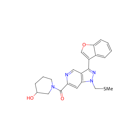 CSCn1nc(-c2coc3ccccc23)c2cnc(C(=O)N3CCCC(O)C3)cc21